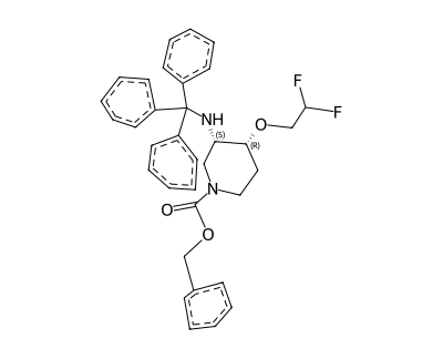 O=C(OCc1ccccc1)N1CC[C@@H](OCC(F)F)[C@@H](NC(c2ccccc2)(c2ccccc2)c2ccccc2)C1